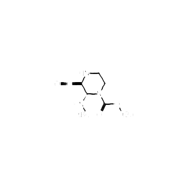 CC(C)(C)N[C@H]1C(=C=O)NCCN1C(=O)OC(C)(C)C